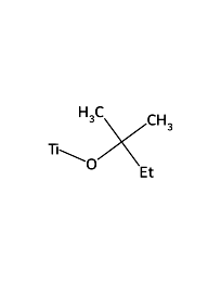 CCC(C)(C)[O][Ti]